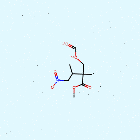 COC(=O)C(C)(C[14O]C=[14O])C(C)C[N+](=O)[O-]